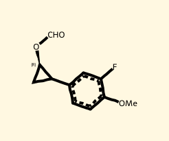 COc1ccc(C2C[C@H]2OC=O)cc1F